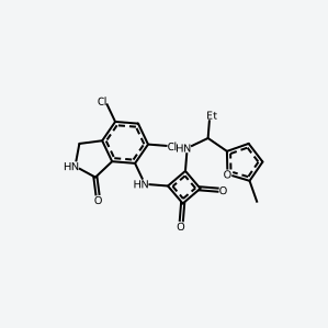 CCC(Nc1c(Nc2c(Cl)cc(Cl)c3c2C(=O)NC3)c(=O)c1=O)c1ccc(C)o1